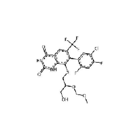 COCOC(CO)CSc1c(-c2cc(Cl)c(F)cc2F)c(C(F)(F)F)cc2c(=O)[nH]c(=O)[nH]c12